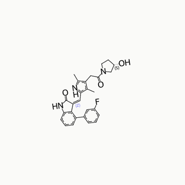 Cc1[nH]c(/C=C2\C(=O)Nc3cccc(-c4cccc(F)c4)c32)c(C)c1CC(=O)N1CC[C@H](O)C1